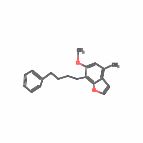 COc1cc(C)c2ccoc2c1CCCCc1ccccc1